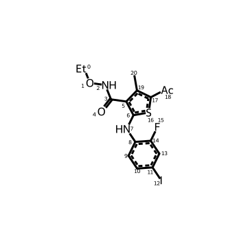 CCONC(=O)c1c(Nc2ccc(I)cc2F)sc(C(C)=O)c1C